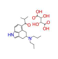 CCCN(CCC)C1Cc2c[nH]c3ccc(C(=O)C(C)C)c(c23)C1.O=C(O)C(O)C(O)C(=O)O